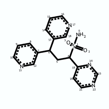 NS(=O)(=O)C(CC(c1cccnc1)c1cccnc1)c1ccncn1